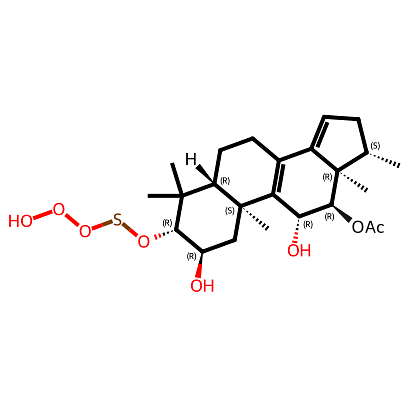 CC(=O)O[C@H]1[C@H](O)C2=C(CC[C@H]3C(C)(C)[C@@H](OSOOO)[C@H](O)C[C@]23C)C2=CC[C@H](C)[C@]21C